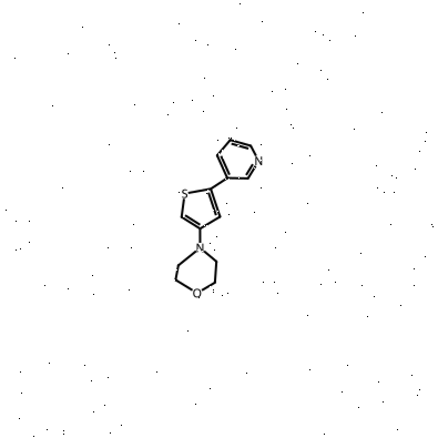 c1cncc(-c2cc(N3CCOCC3)cs2)c1